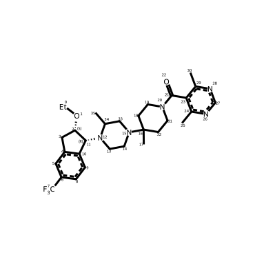 CCO[C@H]1Cc2cc(C(F)(F)F)ccc2[C@H]1N1CCN(C2(C)CCN(C(=O)c3c(C)ncnc3C)CC2)CC1C